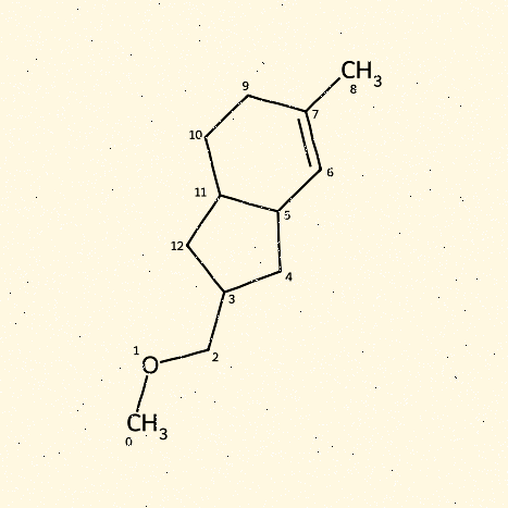 COCC1CC2C=C(C)CCC2C1